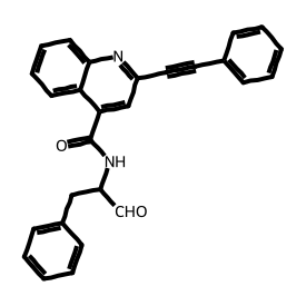 O=CC(Cc1ccccc1)NC(=O)c1cc(C#Cc2ccccc2)nc2ccccc12